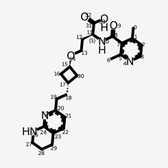 Cc1ccnc(C)c1C(=O)N[C@@H](CCO[C@H]1C[C@@H](CCc2ccc3c(n2)NCCC3)C1)C(=O)O